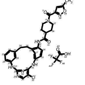 Cc1cc(C(=O)N2CCC(C(=O)Nc3ccc4cc3CCc3cccc(c3)Nc3ncc(Cl)c(n3)N4)CC2)no1.O=C(O)C(F)(F)F